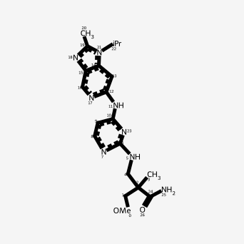 COCC(C)(CNc1nccc(Nc2cc3c(cn2)nc(C)n3C(C)C)n1)C(N)=O